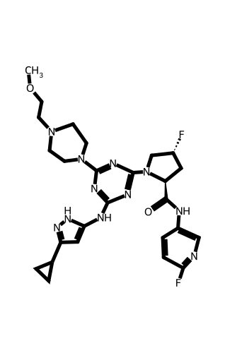 COCCN1CCN(c2nc(Nc3cc(C4CC4)n[nH]3)nc(N3C[C@H](F)C[C@H]3C(=O)Nc3ccc(F)nc3)n2)CC1